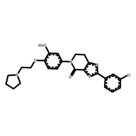 COc1cc(N2CCc3nc(-c4cccc(Cl)c4)sc3C2=O)ccc1OCCN1CCCC1